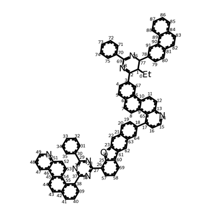 CCC1C(c2ccc3ccc4c(ccc5nccc(-c6ccc7cc8oc9c(-c%10nc(-c%11ccccc%11)nc(-c%11cccc%12ccc%13c%14cccnc%14ccc%13c%11%12)n%10)cccc9c8cc7c6)c54)c3c2)=NC(c2ccccc2)=NC1c1ccc2ccc3ccccc3c2c1